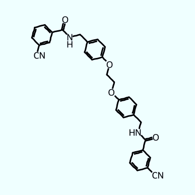 N#Cc1cccc(C(=O)NCc2ccc(OCCOc3ccc(CNC(=O)c4cccc(C#N)c4)cc3)cc2)c1